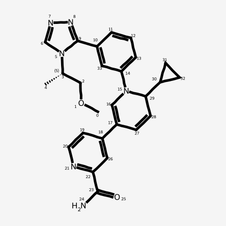 COC[C@H](C)n1cnnc1-c1cccc(N2C=C(c3ccnc(C(N)=O)c3)C=CC2C2CC2)c1